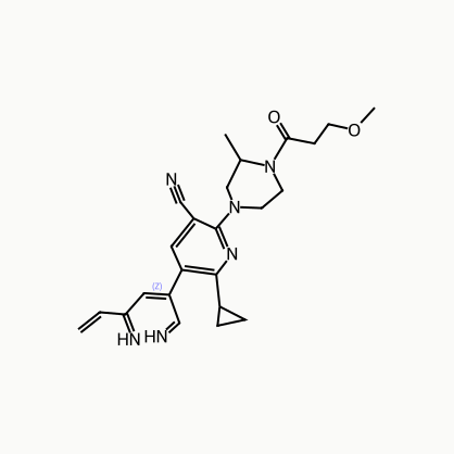 C=CC(=N)/C=C(\C=N)c1cc(C#N)c(N2CCN(C(=O)CCOC)C(C)C2)nc1C1CC1